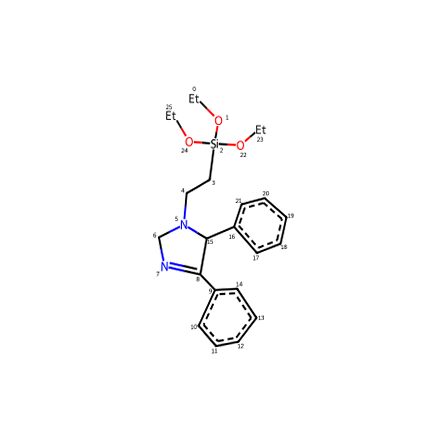 CCO[Si](CCN1CN=C(c2ccccc2)C1c1ccccc1)(OCC)OCC